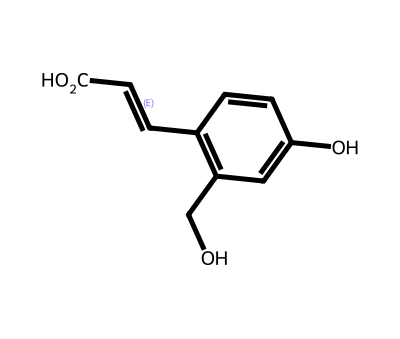 O=C(O)/C=C/c1ccc(O)cc1CO